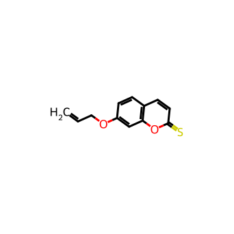 C=CCOc1ccc2ccc(=S)oc2c1